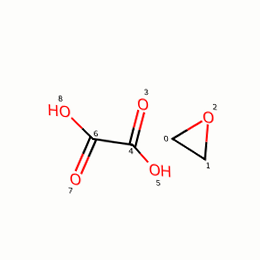 C1CO1.O=C(O)C(=O)O